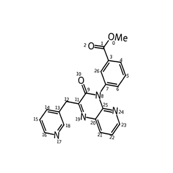 COC(=O)c1cccc(-n2c(=O)c(Cc3cccnc3)nc3cccnc32)c1